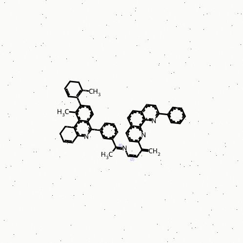 C=C(/C=C\N=C(/C)c1cccc(-c2nc3c(c4c(C)c(C5=C(C)CCC=C5)ccc24)CCC=C3)c1)c1ccc2ccc3ccc(-c4ccccc4)nc3c2n1